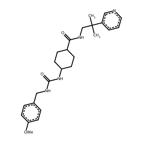 COc1ccc(CNC(=O)NC2CCC(C(=O)NCC(C)(C)c3cccnc3)CC2)cc1